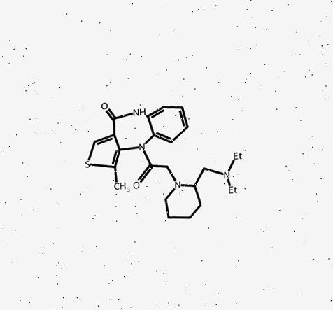 CCN(CC)CC1CCCCN1CC(=O)N1c2ccccc2NC(=O)c2csc(C)c21